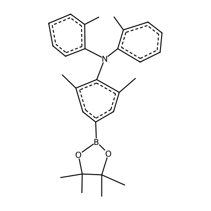 Cc1ccccc1N(c1ccccc1C)c1c(C)cc(B2OC(C)(C)C(C)(C)O2)cc1C